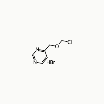 Br.ClCOCc1ccncn1